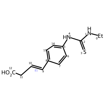 CCNC(=S)Nc1ccc(/C=C/CC(=O)O)cc1